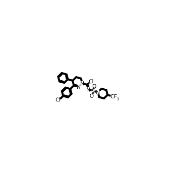 O=S(=O)(N=C(Cl)N1CCC(c2ccccc2)C(c2ccc(Cl)cc2)=N1)N1CCC(C(F)(F)F)CC1